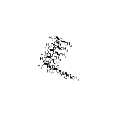 C=C(C)C(=O)OC.C=C(C)C(=O)OC(C)C.C=C(C)C(=O)OCC.C=C(C)C(=O)OCCC.C=CC(=O)OC(C)C.C=CC(=O)OCC.C=CC(=O)OCCC